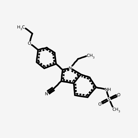 CCOc1ccc(-c2c(C#N)c3ccc(NS(C)(=O)=O)cc3n2CC)cc1